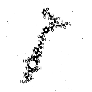 CC(C)[C@H](NC(=O)CCN1C(=O)C=CC1=O)C(=O)N[C@@H](CCCNC(N)=O)C(=O)Nc1ccc(COC(=O)NCCCNc2ncnc3c2ncn3[C@@H]2O[C@@H]3CO[P@@](=O)(S)O[C@H]4[C@@H](F)[C@H](n5cnc6c(N)ncnc65)O[C@@H]4CO[P@@](=O)(S)O[C@H]3[C@H]2F)cc1